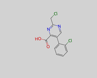 O=C(O)c1nc(CCl)ncc1-c1ccccc1Cl